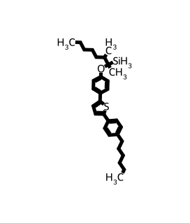 CCCCCCc1ccc(-c2ccc(-c3ccc(OC(C)([SiH3])C(C)CCCCC)cc3)s2)cc1